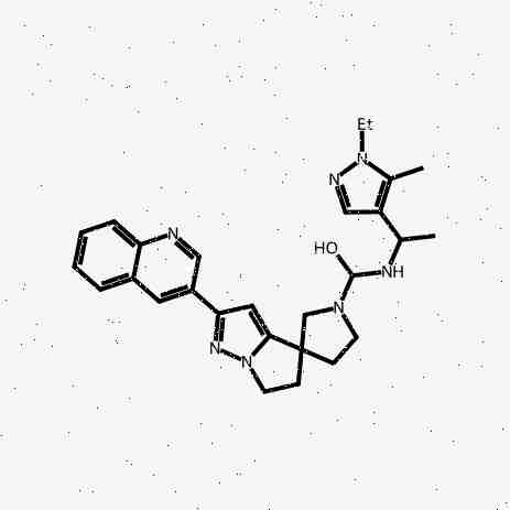 CCn1ncc(C(C)NC(O)N2CCC3(CCn4nc(-c5cnc6ccccc6c5)cc43)C2)c1C